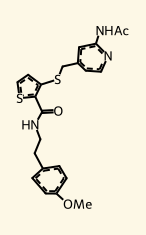 COc1ccc(CCNC(=O)c2sccc2SCc2ccnc(NC(C)=O)c2)cc1